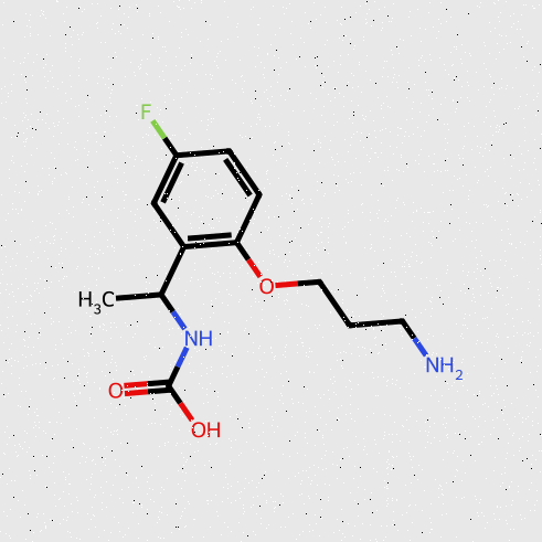 CC(NC(=O)O)c1cc(F)ccc1OCCCN